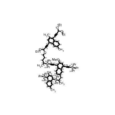 CCOC(C#Cc1c(C)cc(C#CC(OCC)OCCCC(C)[Si](C#Cc2c(OC)cc(C#C[Si](C(C)C)(C(C)C)C(C)C)c3cc(CC(C)[Si](c4cc(C)c([Si](C(C)C)(C(C)C)C(C)C)c5ccc(C)cc45)(C(C)C)C(C)C)ccc23)(C(C)C)C(C)C)c2cc(C)ccc12)OCC